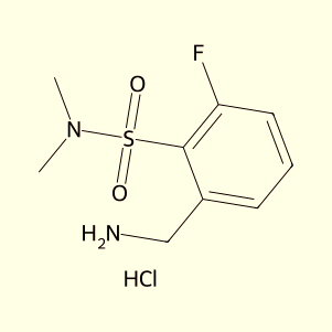 CN(C)S(=O)(=O)c1c(F)cccc1CN.Cl